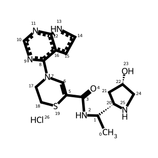 CC(NC(=O)C1=CN(c2ncnc3[nH]ccc23)CCS1)[C@@H]1C[C@H](O)CN1.Cl